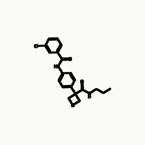 CCCNC(=O)C1(c2ccc(NC(=O)c3cccc(Cl)c3)cc2)COC1